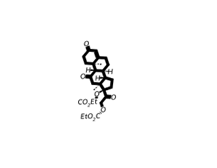 CCOC(=O)OCC(=O)[C@@]1(OC(=O)OCC)CC[C@H]2[C@@H]3CCC4=CC(=O)CC[C@]4(C)[C@H]3C(=O)C[C@@]21C